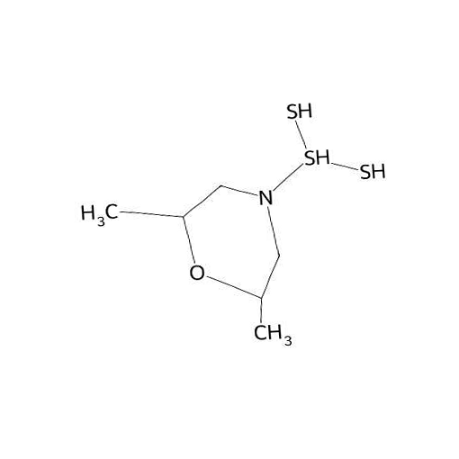 CC1CN([SH](S)S)CC(C)O1